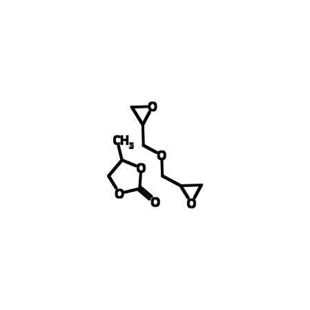 C(OCC1CO1)C1CO1.CC1COC(=O)O1